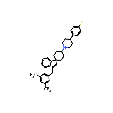 Fc1ccc(C2CCN(C3CCC(C=CCc4cc(C(F)(F)F)cc(C(F)(F)F)c4)(c4ccccc4)CC3)CC2)cc1